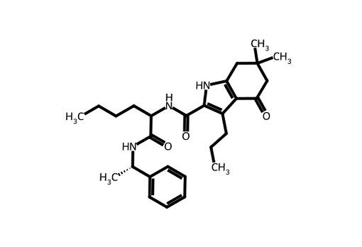 CCCCC(NC(=O)c1[nH]c2c(c1CCC)C(=O)CC(C)(C)C2)C(=O)N[C@@H](C)c1ccccc1